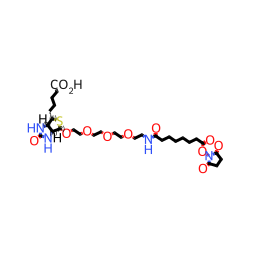 O=C(O)CCCC[C@@H]1S[C@@H](OCCOCCOCCOCCNC(=O)CCCCCCC(=O)ON2C(=O)CCC2=O)[C@@H]2NC(=O)N[C@@H]21